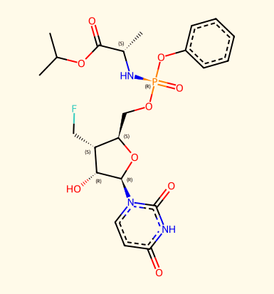 CC(C)OC(=O)[C@H](C)N[P@@](=O)(OC[C@H]1O[C@@H](n2ccc(=O)[nH]c2=O)[C@H](O)[C@@H]1CF)Oc1ccccc1